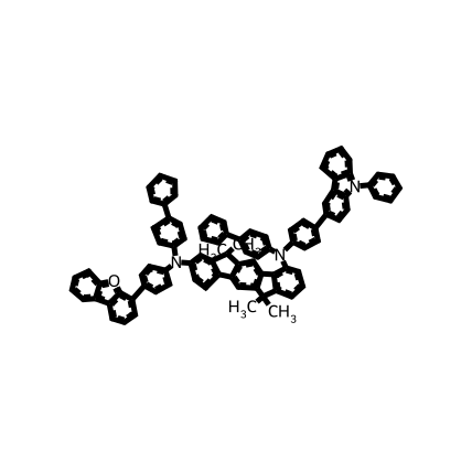 CC1(C)c2cc(N(c3ccc(-c4ccccc4)cc3)c3ccc(-c4cccc5c4oc4ccccc45)cc3)ccc2-c2cc3c(cc21)-c1c(N(c2ccc(-c4ccccc4)cc2)c2ccc(-c4ccc5c(c4)c4ccccc4n5-c4ccccc4)cc2)cccc1C3(C)C